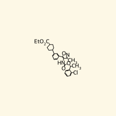 CCOC(=O)C1CCC(c2cccc(-c3onc(C)c3NC(=O)OC(C)c3ccccc3Cl)c2)CC1